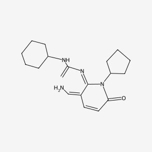 C=C(/N=C1\C(=C/N)C=CC(=O)N1C1CCCC1)NC1CCCCC1